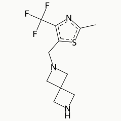 Cc1nc(C(F)(F)F)c(CN2CC3(CNC3)C2)s1